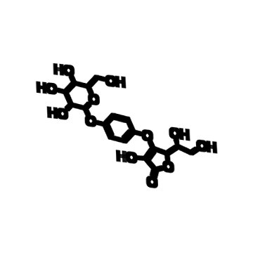 O=C1OC([C@@H](O)CO)C(Oc2ccc(OC3OC(CO)C(O)C(O)C3O)cc2)=C1O